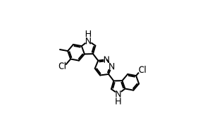 Cc1cc2[nH]cc(-c3ccc(-c4c[nH]c5ccc(Cl)cc45)nn3)c2cc1Cl